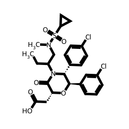 CCC(CN(C)S(=O)(=O)C1CC1)N1C(=O)[C@@H](CC(=O)O)O[C@H](c2cccc(Cl)c2)[C@H]1c1ccc(Cl)cc1